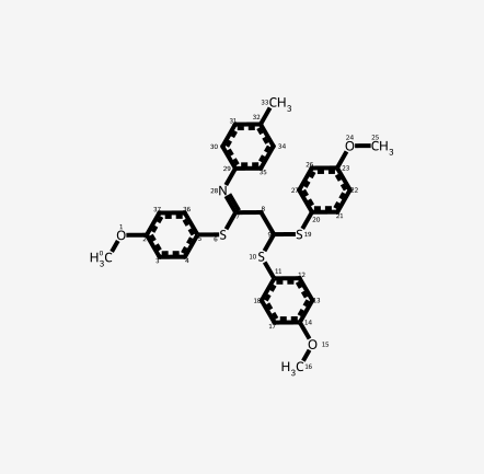 COc1ccc(SC(CC(Sc2ccc(OC)cc2)Sc2ccc(OC)cc2)=Nc2ccc(C)cc2)cc1